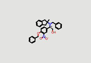 CC1(N(Cc2ccccc2)[C@@H](CO)c2ccc(OCc3ccccc3)c([N+](=O)[O-])c2)Cc2ccccc2C1